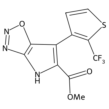 COC(=O)c1[nH]c2nnoc2c1-c1ccsc1C(F)(F)F